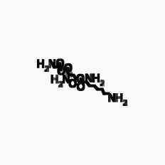 NCCCCCCC(N)C(=O)OC(=O)C[C@H](N)C(=O)OC(=O)CN